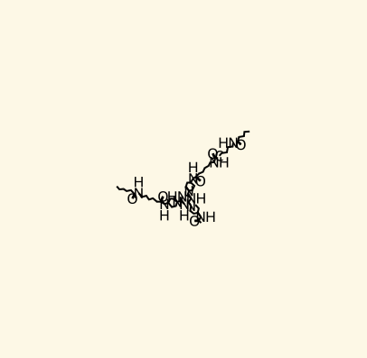 CCCCCC(=O)NCCCCCC(=O)NC1CCN(C2NC(N3CCC(NC(C)=O)CC3)NC(N3CCC(NC(=O)CCCCCNC(=O)CCCCCNC(=O)CCCC)CC3)N2)CC1